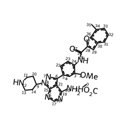 CC(=O)O.COc1cc(-c2nn(C3CCNCC3)c3ncnc(N)c23)ccc1NC(=O)c1cc2cccc(C)c2o1